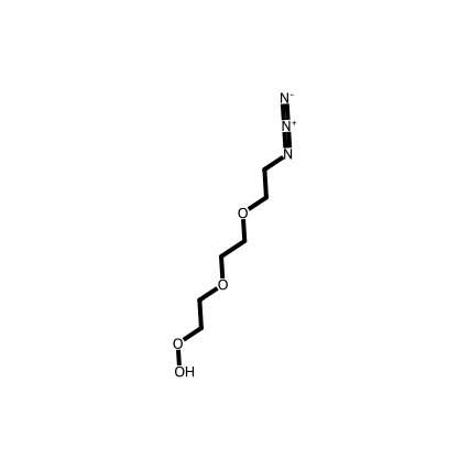 [N-]=[N+]=NCCOCCOCCOO